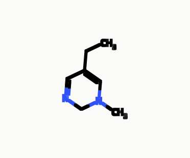 CCC1=CN(C)CN=C1